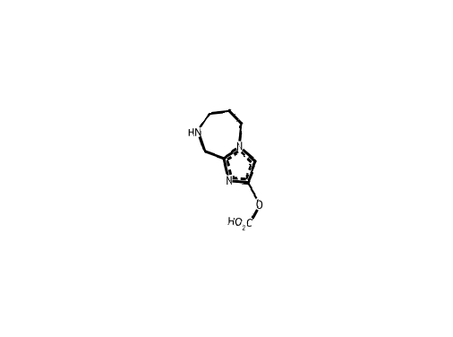 O=C(O)Oc1cn2c(n1)CNCCC2